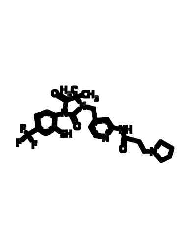 CC1(C)C(=O)N(c2ccc(C(F)(F)F)cc2S)C(=O)N1Cc1ccnc(NC(=O)CCN2CCCC2)c1